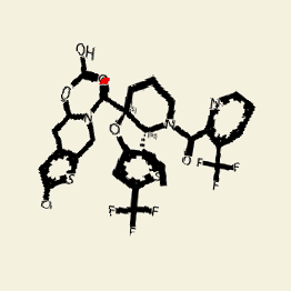 CCC[C@H]1N(C(=O)c2ncccc2C(F)(F)F)CCC[C@@]1(Oc1csc(C(F)(F)F)c1)C(=O)N1Cc2sc(Cl)cc2CC1OC(=O)O